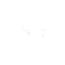 O=C1CCC(N2C(=O)c3cccc(NCCOCCOCCOc4c(-c5csc(N6CCOCC6)n5)ccc(F)c4F)c3C2=O)C(=O)N1